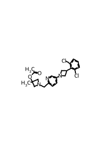 CC(=O)OC1(C)CN(Cc2ccc(N3CC(c4c(Cl)cccc4Cl)C3)cn2)C1